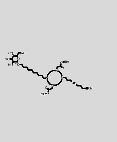 C#CCCCSSCCCN1CCCN(CC(=O)OC(C)(C)C)CCN(CCCCCCCCCCO[C@@H]2OC(CO)[C@@H](O)C(O)C2O)CCCN(CC(=O)OC(C)(C)C)CC1